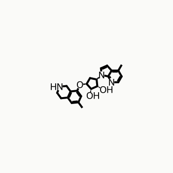 Cc1cc2c(c(O[C@H]3C[C@@H](n4ccc5c(C)ccnc54)[C@H](O)[C@@H]3O)c1)CNCC2